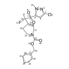 Cn1nc(Cl)cc1S(=O)(=O)C(C)(F)C1CCN(C(=O)OCc2ccccc2)CC1